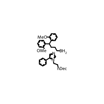 BCCCC(c1ccccc1OC)c1ccccc1OC.CCCCCCCCCCCCn1cncc1-c1ccccc1